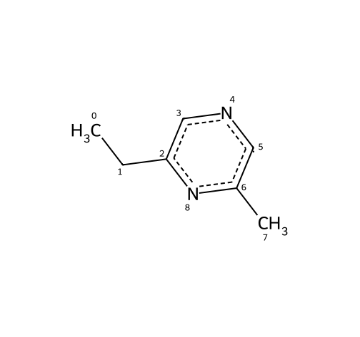 CCc1cn[c]c(C)n1